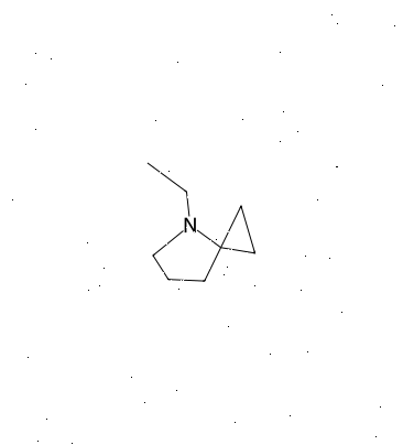 CCN1CCCC12CC2